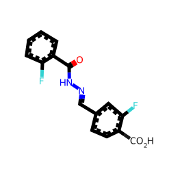 O=C(O)c1ccc(C=NNC(=O)c2ccccc2F)cc1F